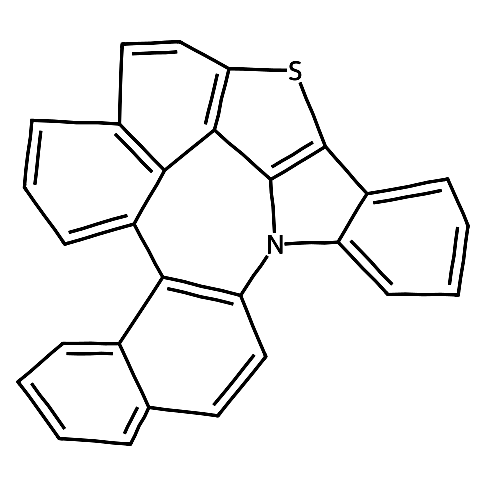 c1ccc2c(c1)ccc1c2c2cccc3ccc4sc5c6ccccc6n1c5c4c32